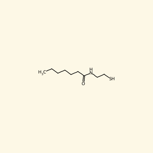 CCCCCCC(=O)NCCS